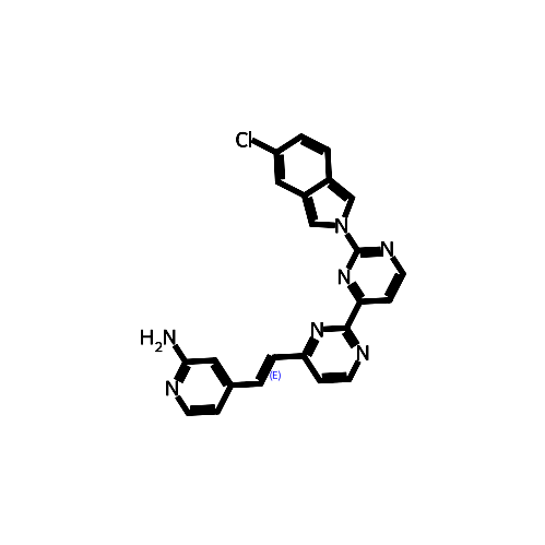 Nc1cc(/C=C/c2ccnc(-c3ccnc(-n4cc5ccc(Cl)cc5c4)n3)n2)ccn1